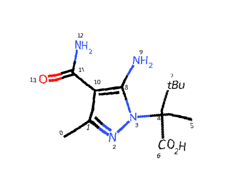 Cc1nn(C(C)(C(=O)O)C(C)(C)C)c(N)c1C(N)=O